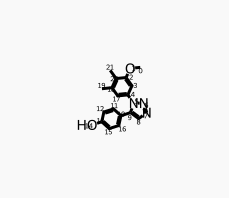 COc1cc(-n2nncc2-c2ccc(O)cc2)cc(C)c1C